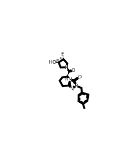 Cc1ccc(Cn2nc3n(c2=O)[C@H](C(=O)N2C[C@@H](O)[C@H](F)C2)CCC3)cc1